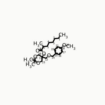 CCCCCCC(C)C(=O)OC1(COCc2ccc(OC)cc2)COC(C)(C)OC1